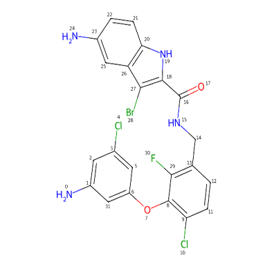 Nc1cc(Cl)cc(Oc2c(Cl)ccc(CNC(=O)c3[nH]c4ccc(N)cc4c3Br)c2F)c1